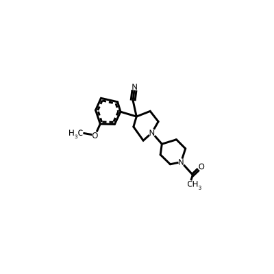 COc1cccc(C2(C#N)CCN(C3CCN(C(C)=O)CC3)CC2)c1